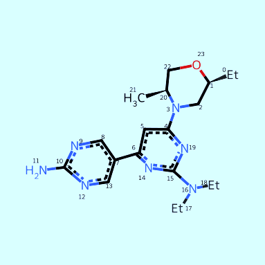 CC[C@H]1CN(c2cc(-c3cnc(N)nc3)nc(N(CC)CC)n2)[C@@H](C)CO1